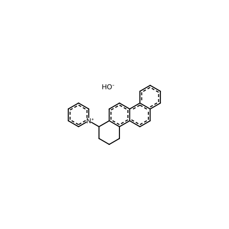 [OH-].c1cc[n+](C2CCCc3c2ccc2c3ccc3ccccc32)cc1